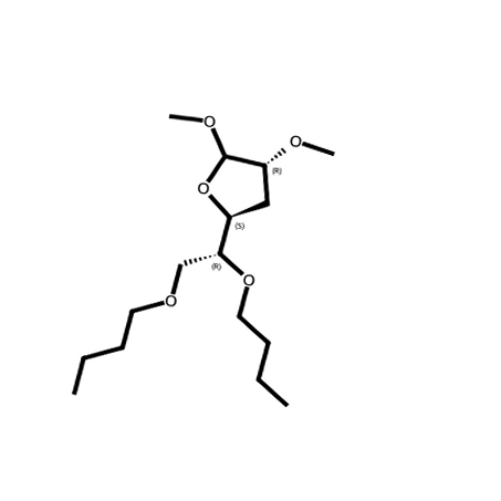 CCCCOC[C@@H](OCCCC)[C@@H]1C[C@@H](OC)C(OC)O1